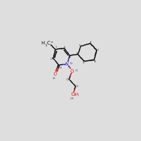 Cc1cc(C2CCCCC2)n(OCCO)c(=O)c1